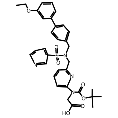 CCOc1cccc(-c2ccc(CN(Cc3cccc(N(CC(=O)O)C(=O)OC(C)(C)C)n3)S(=O)(=O)c3cccnc3)cc2)c1